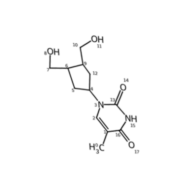 Cc1cn(C2CC(CO)C(CO)C2)c(=O)[nH]c1=O